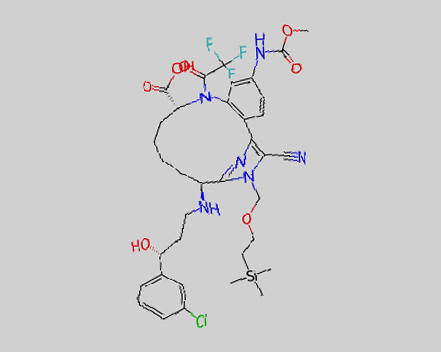 COC(=O)Nc1ccc2c(c1)N(C(=O)C(F)(F)F)[C@@H](C(=O)O)CCCC[C@H](NCC[C@@H](O)c1cccc(Cl)c1)c1nc-2c(C#N)n1COCC[Si](C)(C)C